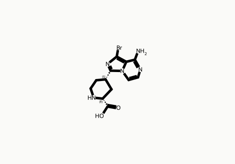 Nc1nccn2c([C@H]3CCN[C@@H](C(=O)O)C3)nc(Br)c12